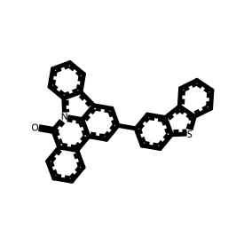 O=c1c2ccccc2c2cc(-c3ccc4sc5ccccc5c4c3)cc3c4ccccc4n1c23